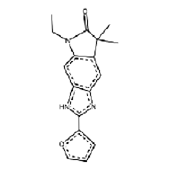 CCN1C(=O)C(C)(C)c2cc3nc(-c4ccco4)[nH]c3cc21